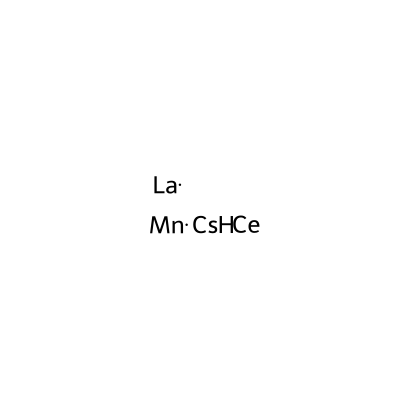 [Ce].[CsH].[La].[Mn]